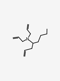 C=CCC(CCCC)N(CC=C)CC=C